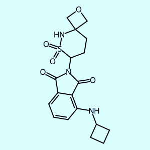 O=C1c2cccc(NC3CCC3)c2C(=O)N1C1CCC2(COC2)NS1(=O)=O